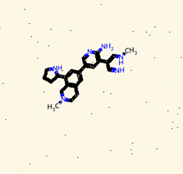 CN/C=C(\C=N)c1cc(-c2cc3c(c(C4CCCN4)c2)CN(C)CC3)cnc1N